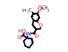 COc1cc2c(cc1C)C=C(C(=O)NC1(C(=O)O)CCCCC1)CO2